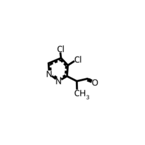 CC([C]=O)c1nncc(Cl)c1Cl